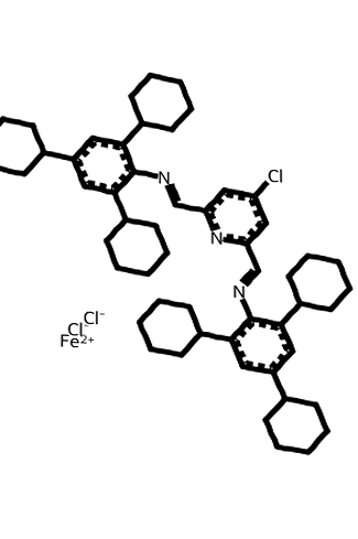 Clc1cc(C=Nc2c(C3CCCCC3)cc(C3CCCCC3)cc2C2CCCCC2)nc(C=Nc2c(C3CCCCC3)cc(C3CCCCC3)cc2C2CCCCC2)c1.[Cl-].[Cl-].[Fe+2]